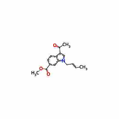 CC=CCn1cc(C(C)=O)c2ccc(C(=O)OC)cc21